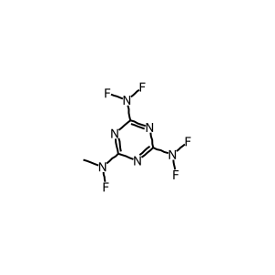 CN(F)c1nc(N(F)F)nc(N(F)F)n1